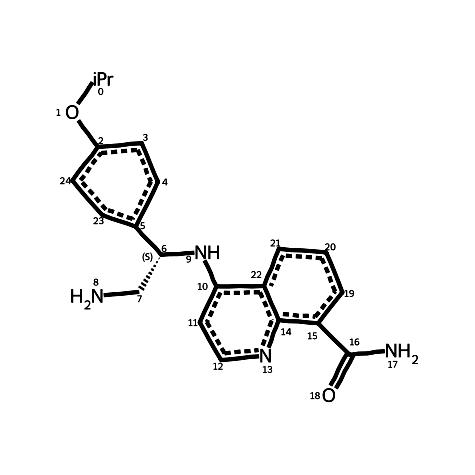 CC(C)Oc1ccc([C@@H](CN)Nc2ccnc3c(C(N)=O)cccc23)cc1